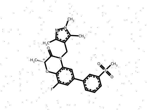 Cc1nn(C)c(C)c1CN1C(=O)[C@@H](C)Oc2c(F)cc(-c3cccc(S(C)(=O)=O)c3)cc21